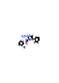 N#Cc1cccc(NC(=O)c2nc(-c3ccccc3)cnc2N)c1